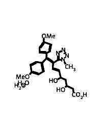 COc1ccc(C(=C(/C=C/C(O)CC(O)CC(=O)O)c2nnnn2C)c2ccc(OC)cc2)cc1.O.O